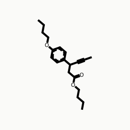 CC#CC(CC(=O)OCCCC)c1ccc(OCCCC)cc1